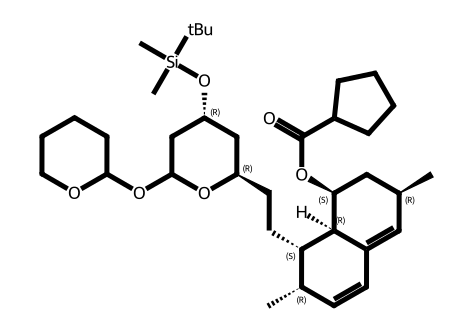 C[C@H]1C=C2C=C[C@H](C)[C@H](CC[C@@H]3C[C@@H](O[Si](C)(C)C(C)(C)C)CC(OC4CCCCO4)O3)[C@H]2[C@@H](OC(=O)C2CCCC2)C1